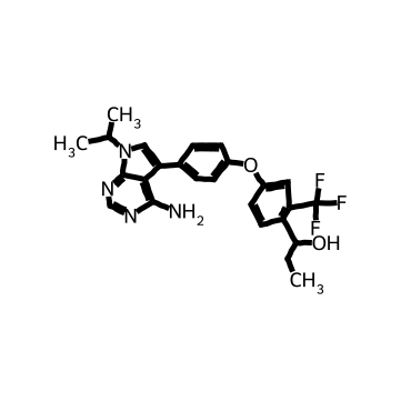 CCC(O)c1ccc(Oc2ccc(-c3cn(C(C)C)c4ncnc(N)c34)cc2)cc1C(F)(F)F